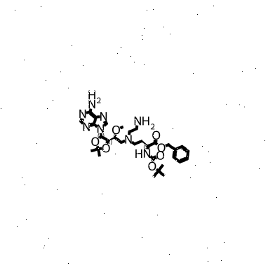 COC(CN(CCN)CC[C@H](NC(=O)OC(C)(C)C)C(=O)OCc1ccccc1)[C@H]1OC(C)(C)O[C@H]1n1cnc2c(N)ncnc21